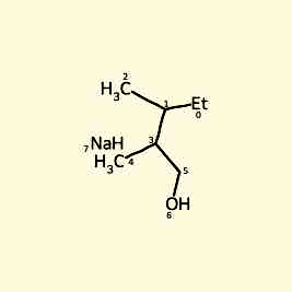 CCC(C)C(C)CO.[NaH]